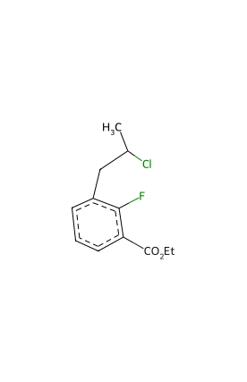 CCOC(=O)c1cccc(CC(C)Cl)c1F